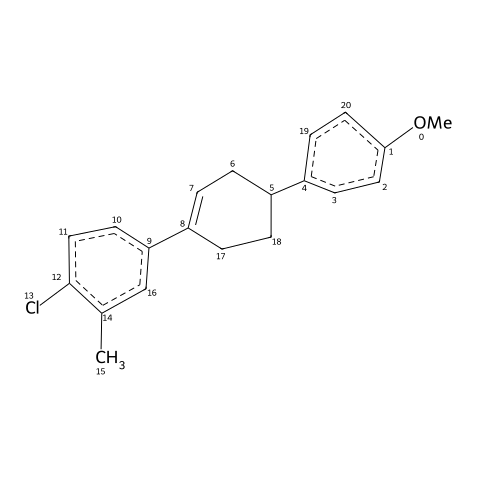 COc1ccc(C2CC=C(c3ccc(Cl)c(C)c3)CC2)cc1